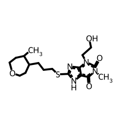 CC1CCOCCC1CCCSc1nc2c([nH]1)c(=O)n(C)c(=O)n2CCO